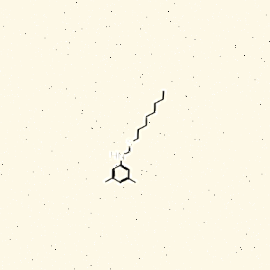 CCCCCCCCSCNc1cc(C)cc(C)c1